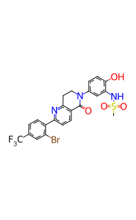 CS(=O)(=O)Nc1cc(N2CCc3nc(-c4ccc(C(F)(F)F)cc4Br)ccc3C2=O)ccc1O